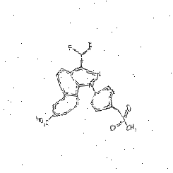 CS(=O)(=O)c1ccc(-n2nc(C(F)F)c3ccc4cc(C(=O)O)ccc4c32)cc1